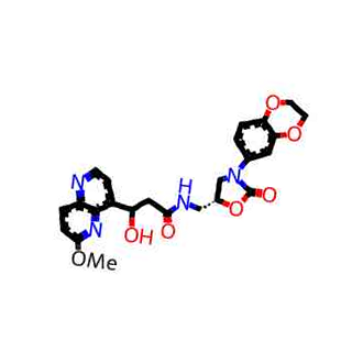 COc1ccc2nccc(C(O)CC(=O)NC[C@@H]3CN(c4ccc5c(c4)OCCO5)C(=O)O3)c2n1